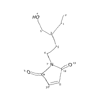 CCC(CO)CCN1C(=O)C=CC1=O